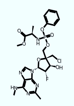 CNc1nc(C)nc2c1ncn2[C@@H]1O[C@](CCl)(COP(=O)(N[C@H](C)C(=O)OC)Oc2ccccc2)[C@@H](O)[C@@H]1F